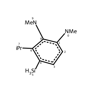 CNc1ccc([SiH3])c(C(C)C)c1NC